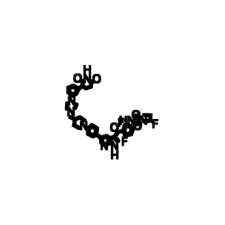 O=C1CCC(c2cccc(N3CCN(CC4CCN(c5ccc(-c6cnc7[nH]cc(C(=O)c8c(F)ccc(NS(=O)(=O)N9CC[C@@H](F)C9)c8F)c7c6)cc5)CC4)CC3)c2)C(=O)N1